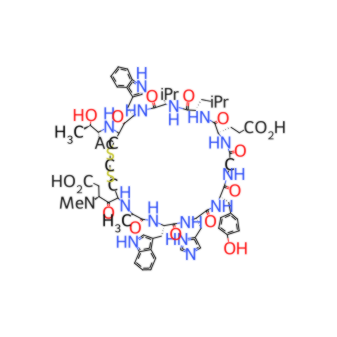 CN[C@@H](CC(=O)O)C(=O)C1CSCSCC(N[C@H](C(C)=O)[C@@H](C)O)C(=O)[C@H](Cc2c[nH]c3ccccc23)NC(=O)[C@H](C(C)C)NC(=O)[C@H](CC(C)C)NC(=O)[C@H](CCC(=O)O)NC(=O)CNC(=O)[C@H](Cc2ccc(O)cc2)NC(=O)[C@H](Cc2cnc[nH]2)NC(=O)[C@H](Cc2c[nH]c3ccccc23)NC(=O)[C@H](C)N1